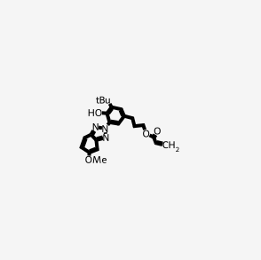 C=CC(=O)OCCCc1cc(-n2nc3ccc(OC)cc3n2)c(O)c(C(C)(C)C)c1